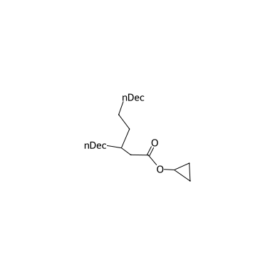 CCCCCCCCCCCCC(CCCCCCCCCC)CC(=O)OC1CC1